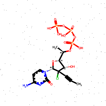 CC#CC1(Cl)[C@@H](O)[C@@H]([C@@H](C)OP(=O)(O)OP(=O)(O)OP(=O)(O)O)O[C@H]1n1ccc(N)nc1=O